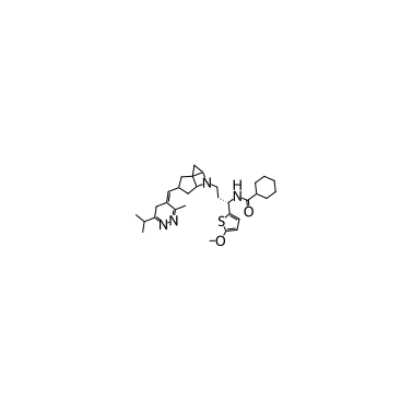 COc1ccc([C@H](CCN2C3CC(/C=C4/CC(C(C)C)=NN=C4C)CC34CC24)NC(=O)C2CCCCC2)s1